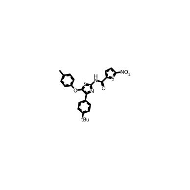 Cc1ccc(Oc2sc(NC(=O)c3ccc([N+](=O)[O-])s3)nc2-c2ccc(C(C)(C)C)cc2)cc1